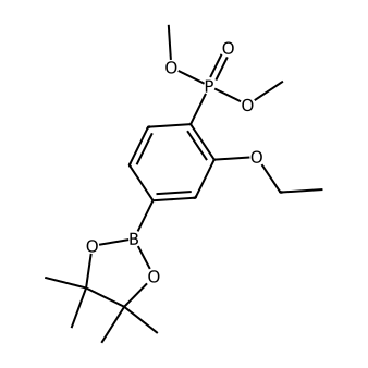 CCOc1cc(B2OC(C)(C)C(C)(C)O2)ccc1P(=O)(OC)OC